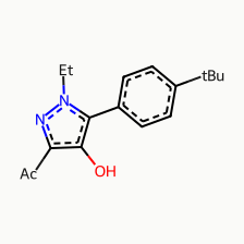 CCn1nc(C(C)=O)c(O)c1-c1ccc(C(C)(C)C)cc1